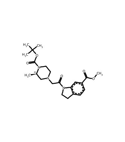 COC(=O)c1ccc2c(c1)N(C(=O)CN1CCN(C(=O)OC(C)(C)C)[C@H](C)C1)CC2